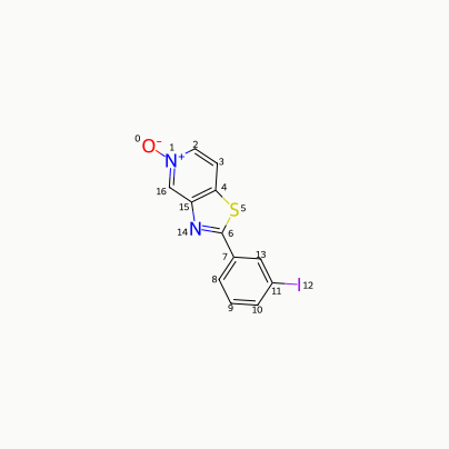 [O-][n+]1ccc2sc(-c3cccc(I)c3)nc2c1